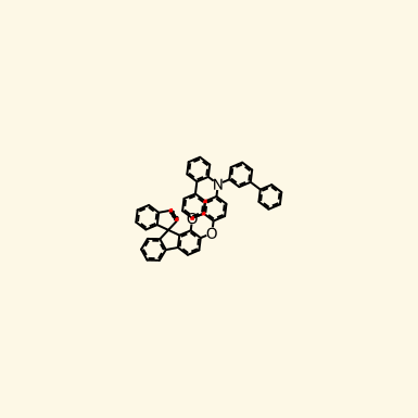 c1ccc(-c2cccc(N(c3ccc4c(c3)Oc3c(ccc5c3C3(c6ccccc6-c6ccccc63)c3ccccc3-5)O4)c3ccccc3-c3ccccc3)c2)cc1